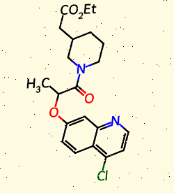 CCOC(=O)CC1CCCN(C(=O)C(C)Oc2ccc3c(Cl)ccnc3c2)C1